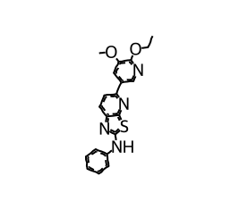 CCOc1ncc(-c2ccc3nc(Nc4ccccc4)sc3n2)cc1OC